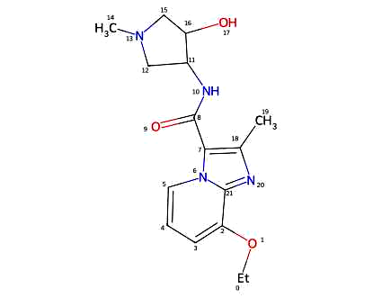 CCOc1cccn2c(C(=O)NC3CN(C)CC3O)c(C)nc12